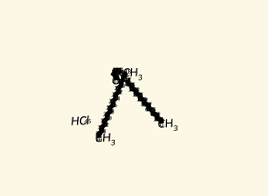 CCCCCCCCCCCCCCCCCCN(CCCCCCCCCCCCCCCCCC)C(C)N1CCCC1=O.Cl